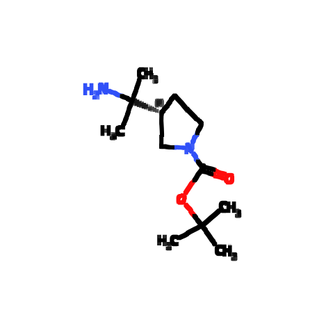 CC(C)(C)OC(=O)N1CC[C@@H](C(C)(C)N)C1